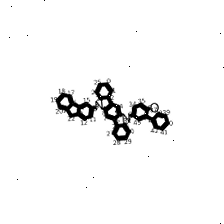 C1=CC2c3cc4c(cc3N(c3ccc5c(c3)-c3ccccc3C5)C2C=C1)c1ccccc1n4-c1ccc2oc3ccccc3c2c1